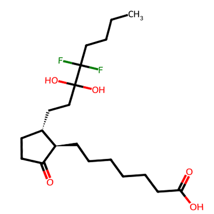 CCCCC(F)(F)C(O)(O)CC[C@H]1CCC(=O)[C@@H]1CCCCCCC(=O)O